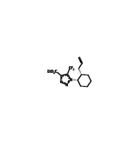 C=CC[C@@H]1CCCC[C@@H]1n1ncc(C(=O)OCC)c1C(F)(F)F